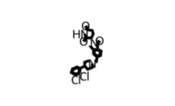 O=C1CCC(N2Cc3cc(CN4CCC(c5cccc(Cl)c5Cl)CC4)ccc3C2=O)C(=O)N1